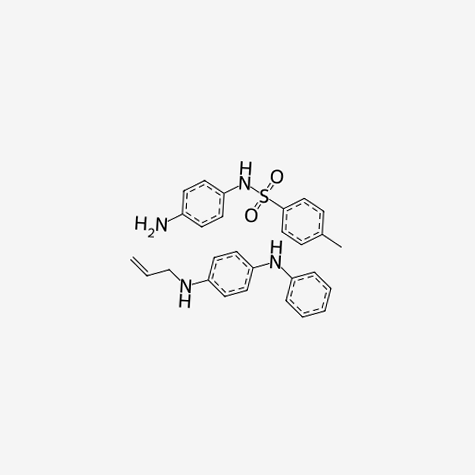 C=CCNc1ccc(Nc2ccccc2)cc1.Cc1ccc(S(=O)(=O)Nc2ccc(N)cc2)cc1